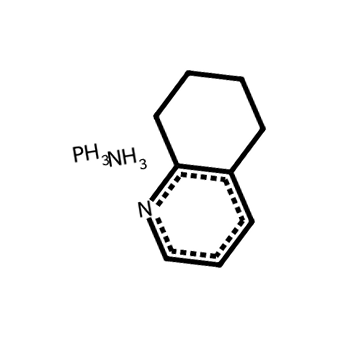 N.P.c1cnc2c(c1)CCCC2